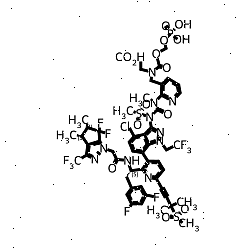 C[C@@H]1c2c(C(F)(F)F)nn(CC(=O)N[C@@H](Cc3cc(F)cc(F)c3)c3nc(C#CC(C)(C)S(C)(=O)=O)ccc3-c3ccc(Cl)c4c(N(C(=O)N(C)c5ncccc5CN(CC(=O)O)C(=O)OCOP(=O)(O)O)S(C)(=O)=O)nn(CC(F)(F)F)c34)c2C(F)(F)[C@@H]1C